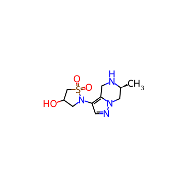 C[C@H]1Cn2ncc(N3CC(O)CS3(=O)=O)c2CN1